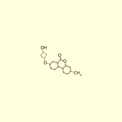 Cc1ccc2c(c1)oc(=O)c1cc(OC3CC(O)C3)ccc12